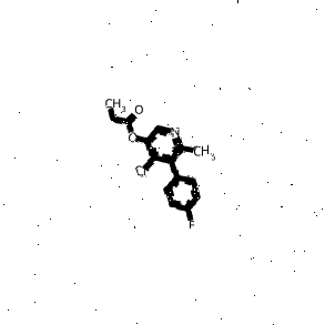 CCC(=O)Oc1cnc(C)c(-c2ccc(F)cc2)c1Cl